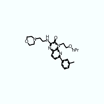 CCCOCCn1c(=O)c(NCCN2CCOCC2)nc2ccc(-c3cccc(C)c3)nc21